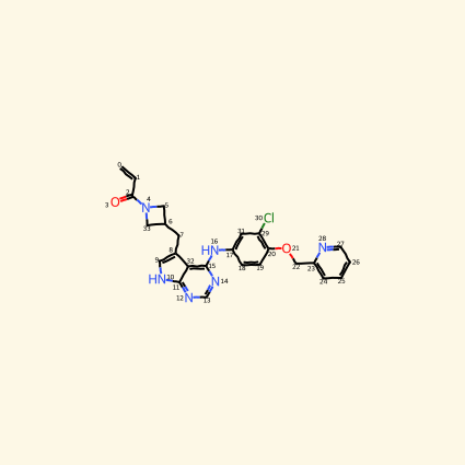 C=CC(=O)N1CC(Cc2c[nH]c3ncnc(Nc4ccc(OCc5ccccn5)c(Cl)c4)c23)C1